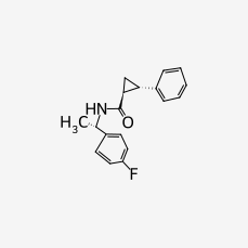 C[C@H](NC(=O)[C@H]1C[C@@H]1c1ccccc1)c1ccc(F)cc1